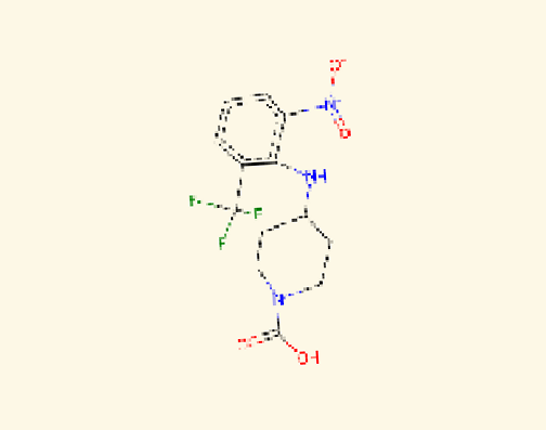 O=C(O)N1CCC(Nc2c([N+](=O)[O-])cccc2C(F)(F)F)CC1